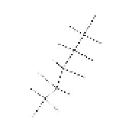 CC(C)(C)C(C)(C)C(C)(C)C(C)(C)C(C)(C)C